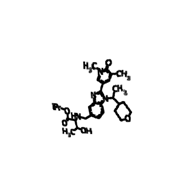 Cc1cc(-c2nc3cc(CNC(C(=O)OC(C)C)C(C)O)ccc3n2C(C)C2CCOCC2)cn(C)c1=O